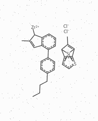 CC1=C2c3sccc3C1[Si]2(C)C.CCCCc1ccc(-c2cccc3c2C=C(C)[CH]3[Zr+2])cc1.[Cl-].[Cl-]